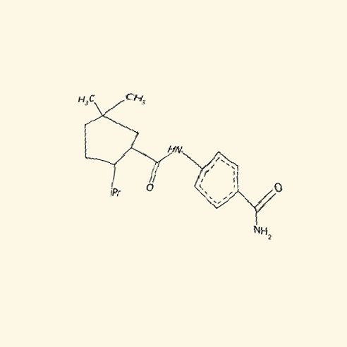 CC(C)C1CCC(C)(C)CC1C(=O)Nc1ccc(C(N)=O)cc1